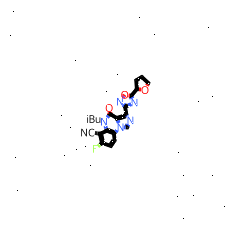 CCC(C)n1c(=O)c2c(-c3noc(C4CCCO4)n3)ncn2c2ccc(F)c(C#N)c21